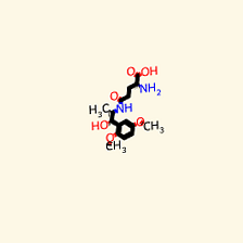 COc1ccc(OC)c([C@@H](O)[C@H](C)NC(=O)CC[C@H](N)C(=O)O)c1